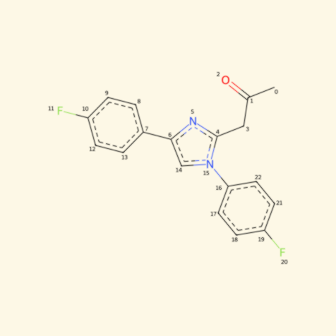 CC(=O)Cc1nc(-c2ccc(F)cc2)cn1-c1ccc(F)cc1